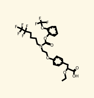 CCOC(Cc1ccc(OCCN(CCCCC(F)(F)C(F)(F)F)C(=O)Oc2ccccc2OC(F)(F)F)cc1)C(=O)O